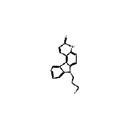 O=c1ccc2c(ccc3c2c2ccccc2n3CCCF)[nH]1